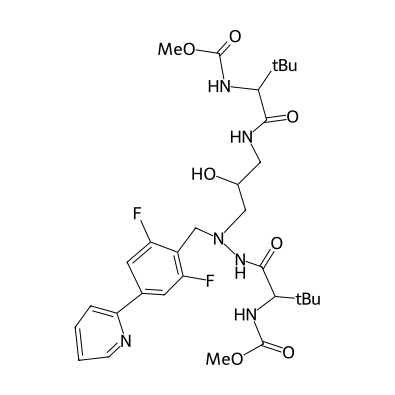 COC(=O)NC(C(=O)NCC(O)CN(Cc1c(F)cc(-c2ccccn2)cc1F)NC(=O)C(NC(=O)OC)C(C)(C)C)C(C)(C)C